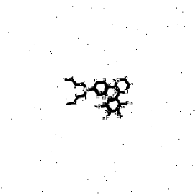 CCCCN(CCCC)c1ccc(C2=C(c3c(F)c(F)c(F)c(F)c3F)OCCS2)cc1